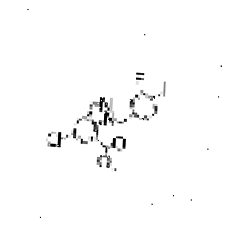 COC(=O)c1cc(Cl)cc2cnn(Cc3ccc(I)c(F)c3)c12